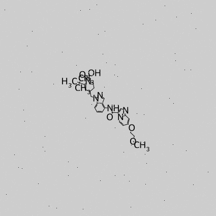 COCCOc1ccn2c(C(=O)Nc3cccc4c3cnn4CC3CCN(C(=O)O)C(C(C)(C)C)C3)cnc2c1